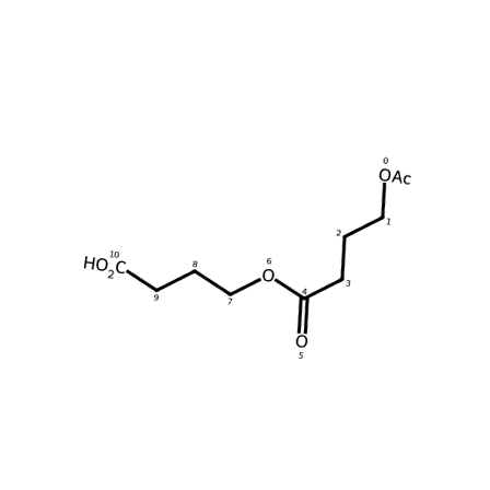 CC(=O)OCCCC(=O)OCCCC(=O)O